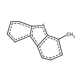 Cc1c[c]cc2c1sc1ccccc12